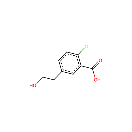 O=C(O)c1cc(CCO)ccc1Cl